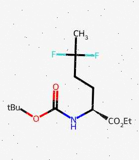 CCOC(=O)[C@H](CCC(C)(F)F)NC(=O)OC(C)(C)C